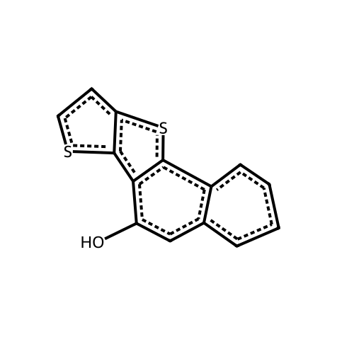 Oc1cc2ccccc2c2sc3ccsc3c12